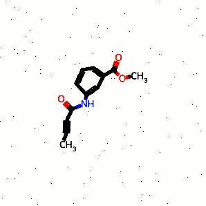 CC#CC(=O)Nc1cccc(C(=O)OC)c1